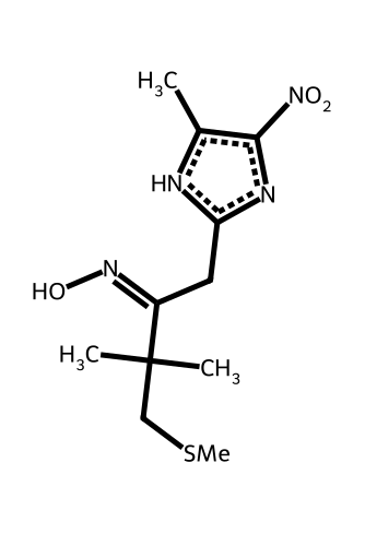 CSCC(C)(C)C(Cc1nc([N+](=O)[O-])c(C)[nH]1)=NO